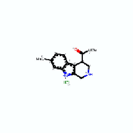 COC(=O)C1CNCc2[nH]c3cc(OC)ccc3c21.Cl